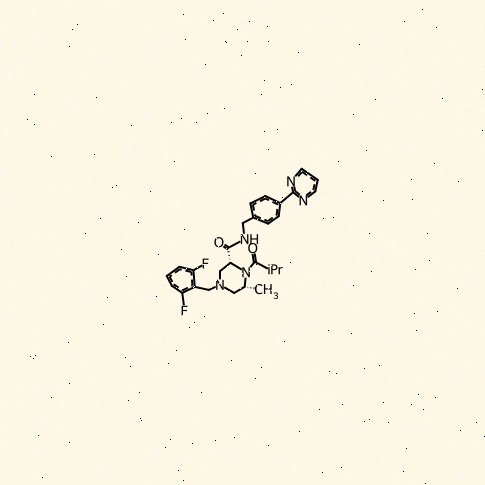 CC(C)C(=O)N1[C@H](C)CN(Cc2c(F)cccc2F)C[C@@H]1C(=O)NCc1ccc(-c2ncccn2)cc1